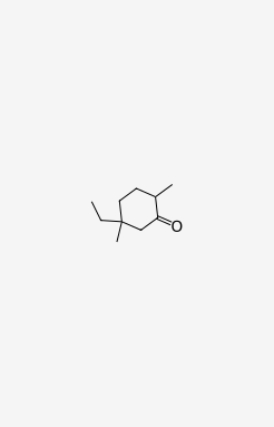 CCC1(C)CCC(C)C(=O)C1